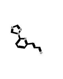 O=C/C=C/c1cccc(-n2cncn2)n1